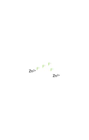 [F-].[F-].[F-].[F-].[Zn+2].[Zn+2]